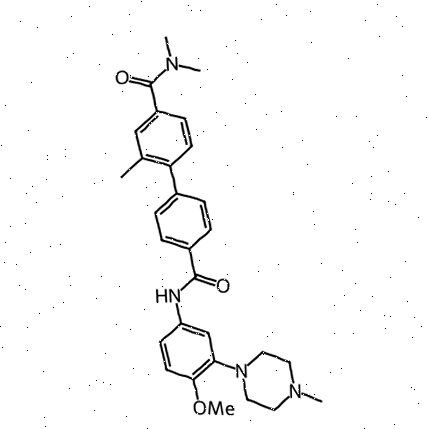 COc1ccc(NC(=O)c2ccc(-c3ccc(C(=O)N(C)C)cc3C)cc2)cc1N1CCN(C)CC1